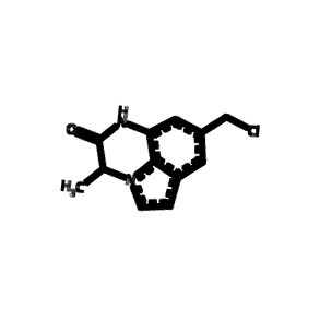 CC1C(=O)Nc2cc(CCl)cc3ccn1c23